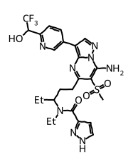 CCC(CCc1nc2c(-c3ccc(C(O)C(F)(F)F)nc3)cnn2c(N)c1S(C)(=O)=O)N(CC)C(=O)c1cc[nH]n1